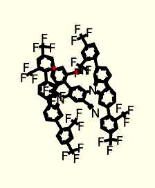 N#Cc1cc(-n2c3cc(-c4ccc(C(F)(F)F)cc4C(F)(F)F)ccc3c3ccc(-c4ccc(C(F)(F)F)cc4C(F)(F)F)cc32)c(-c2c(C#N)cccc2C(F)(F)F)cc1-n1c2cc(-c3ccc(C(F)(F)F)cc3C(F)(F)F)ccc2c2ccc(-c3ccc(C(F)(F)F)cc3C(F)(F)F)cc21